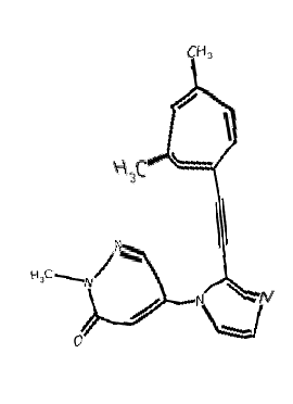 Cc1ccc(C#Cc2nccn2-c2cnn(C)c(=O)c2)c(C)c1